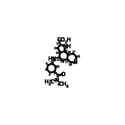 CN(C)C(=O)c1cccc(Nc2nc3cnccc3c3[nH]c(C(=O)O)cc23)c1